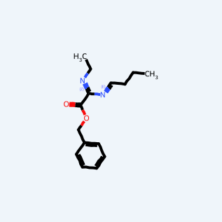 CCC/C=N/C(=N\CC)C(=O)OCc1ccccc1